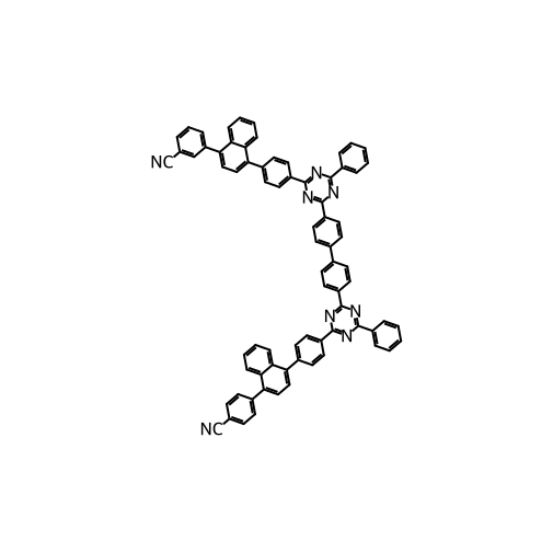 N#Cc1ccc(-c2ccc(-c3ccc(-c4nc(-c5ccccc5)nc(-c5ccc(-c6ccc(-c7nc(-c8ccccc8)nc(-c8ccc(-c9ccc(-c%10cccc(C#N)c%10)c%10ccccc9%10)cc8)n7)cc6)cc5)n4)cc3)c3ccccc23)cc1